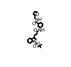 CC(C)(C)OC(=O)n1cc(C=CC(=O)Nc2cccc(C(=O)NCc3ccco3)c2)c2ccccc21